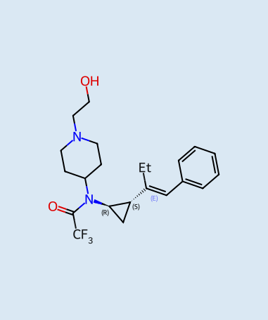 CC/C(=C\c1ccccc1)[C@@H]1C[C@H]1N(C(=O)C(F)(F)F)C1CCN(CCO)CC1